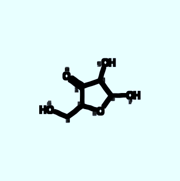 O=C1C(CO)OC(O)C1O